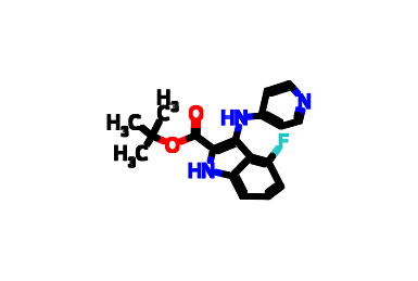 CC(C)(C)OC(=O)c1[nH]c2cccc(F)c2c1Nc1ccncc1